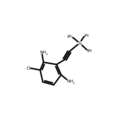 CC(C)[Si](C#Cc1c(N)ccc(Cl)c1N)(C(C)C)C(C)C